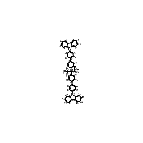 FC(F)(F)C(c1ccc(-c2ccc(-n3c4ccccc4c4ccccc43)cc2)cc1)(c1ccc(-c2ccc(-n3c4ccccc4c4ccccc43)cc2)cc1)C(F)(F)F